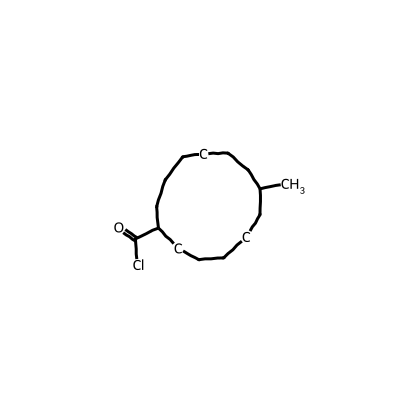 CC1CCCCCCC(C(=O)Cl)CCCCC1